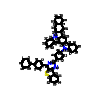 c1ccc(-c2ccc(-c3nc(-c4ccc(-n5c6ccccc6c6cc7c8cc9ccccc9cc8n8c9ccccc9c(c65)c78)cc4)nc4c3sc3ccccc34)cc2)cc1